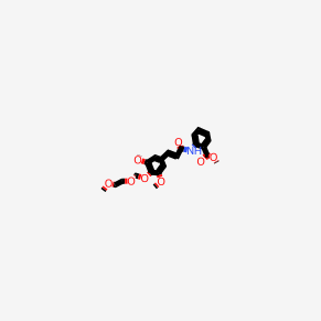 COCCOCOc1c(OC)cc(C=CC(=O)Nc2ccccc2C(=O)OC)cc1OC